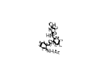 CC(=O)Nc1ccccc1COc1cccnc1Nc1nc(C)cs1